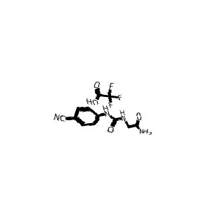 N#Cc1ccc(NC(=O)NCC(N)=O)cc1.O=C(O)C(F)(F)F